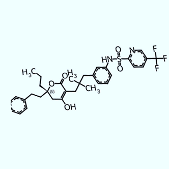 CCC[C@]1(CCc2ccccc2)CC(O)=C(CC(C)(C)Cc2cccc(NS(=O)(=O)c3ccc(C(F)(F)F)cn3)c2)C(=O)O1